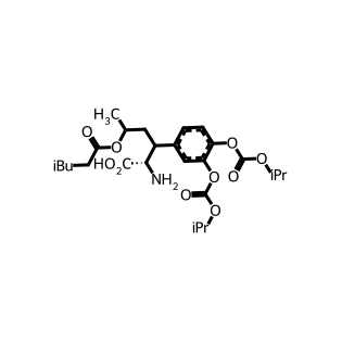 CCC(C)CC(=O)OC(C)CC(c1ccc(OC(=O)OC(C)C)c(OC(=O)OC(C)C)c1)[C@H](N)C(=O)O